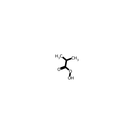 CC(C)C(=O)OO